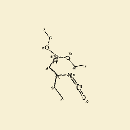 CCO[SiH](CC(CC)N=C=O)OCC